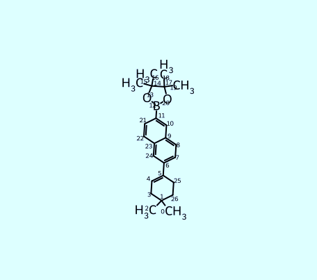 CC1(C)CC=C(c2ccc3cc(B4OC(C)(C)C(C)(C)O4)ccc3c2)CC1